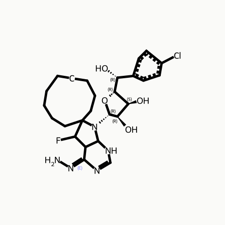 N/N=C1/N=CNC2C1C(F)C1(CCCCCCCCC1)N2[C@@H]1O[C@H]([C@H](O)c2ccc(Cl)cc2)[C@@H](O)[C@H]1O